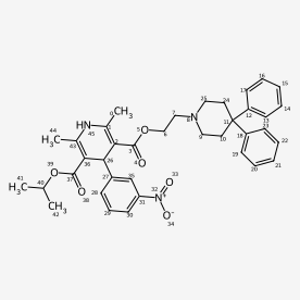 CC1=C(C(=O)OCCN2CCC(c3ccccc3)(c3ccccc3)CC2)C(c2cccc([N+](=O)[O-])c2)C(C(=O)OC(C)C)=C(C)N1